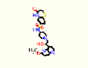 COc1ccc2nccc([C@@H](O)CN3CCC(NS(=O)(=O)c4ccc5c(c4)NC(=O)CCS5)CC3)c2n1